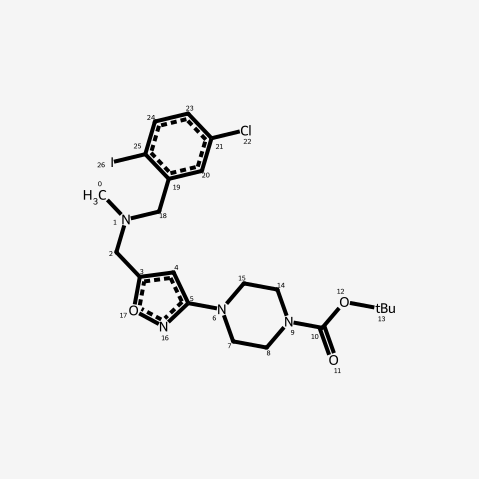 CN(Cc1cc(N2CCN(C(=O)OC(C)(C)C)CC2)no1)Cc1cc(Cl)ccc1I